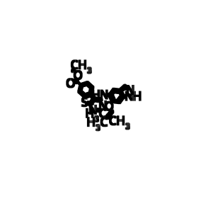 CCOC(=O)[C@H]1CCc2c(sc3ncnc(Nc4cc5cn[nH]c5cc4OCC(C)(C)C)c23)C1